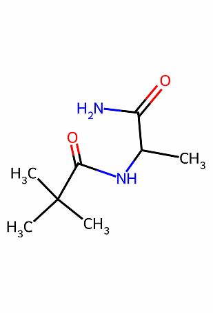 CC(NC(=O)C(C)(C)C)C(N)=O